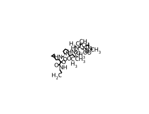 C=CCNC(=O)C(=O)C(CC1CC1)NC(=O)[C@@H]1CCCN1C(=O)[C@@H](NC(=O)N[C@H](CN1CCN(C)S1(=O)=O)C(C)(C)C)C(C)(C)C